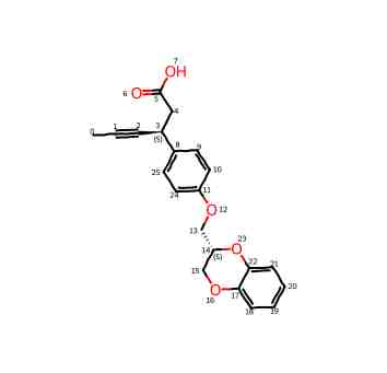 CC#C[C@@H](CC(=O)O)c1ccc(OC[C@H]2COc3ccccc3O2)cc1